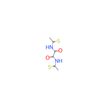 CC(=S)NC(=O)C(=O)NC(C)=S